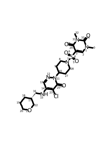 Cn1cc(S(=O)(=O)N2CCC(n3ncc(NC[C@H]4CCCOC4)c(Cl)c3=O)CC2)c(=O)n(C)c1=O